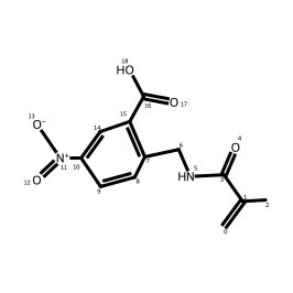 C=C(C)C(=O)NCc1ccc([N+](=O)[O-])cc1C(=O)O